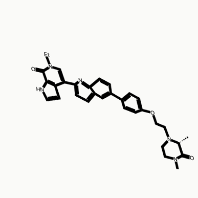 CCn1cc(-c2ccc3cc(-c4ccc(OCCN5CCN(C)C(=O)[C@H]5C)cc4)ccc3n2)c2cc[nH]c2c1=O